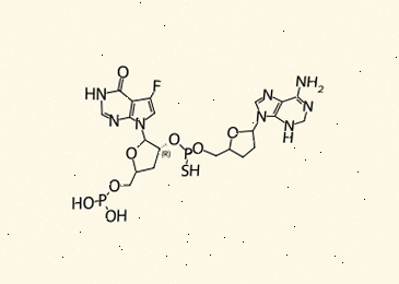 NC1=NCNc2c1ncn2C1CCC(COP(S)O[C@@H]2CC(COP(O)O)OC2n2cc(F)c3c(=O)[nH]cnc32)O1